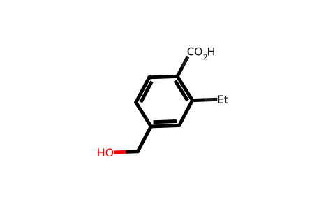 CCc1cc(CO)ccc1C(=O)O